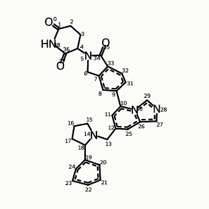 O=C1CCC(N2Cc3cc(-c4cc(CN5CCCC5c5ccccc5)cc5cncn45)ccc3C2=O)C(=O)N1